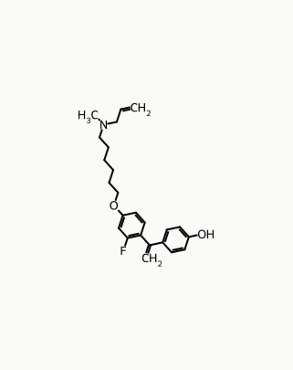 C=CCN(C)CCCCCCOc1ccc(C(=C)c2ccc(O)cc2)c(F)c1